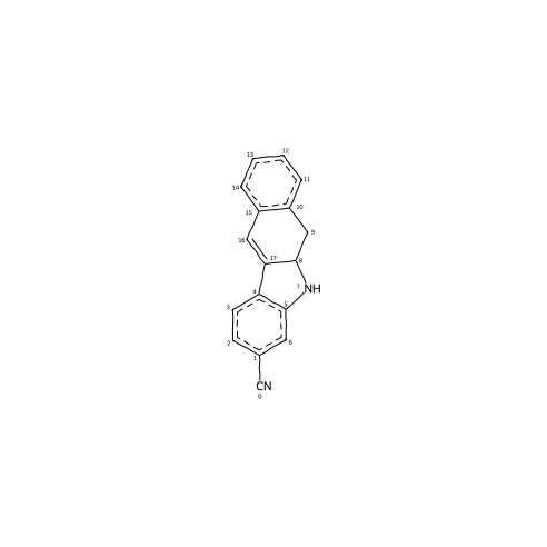 N#Cc1ccc2c(c1)NC1Cc3ccccc3C=C21